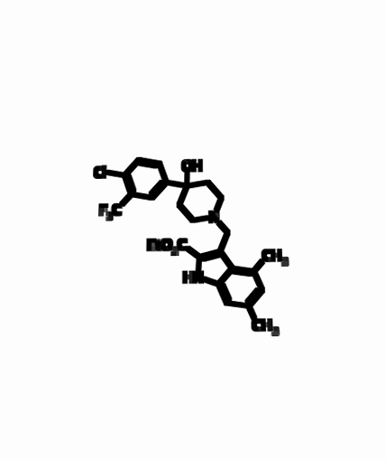 CCOC(=O)c1[nH]c2cc(C)cc(C)c2c1CN1CCC(O)(c2ccc(Cl)c(C(F)(F)F)c2)CC1